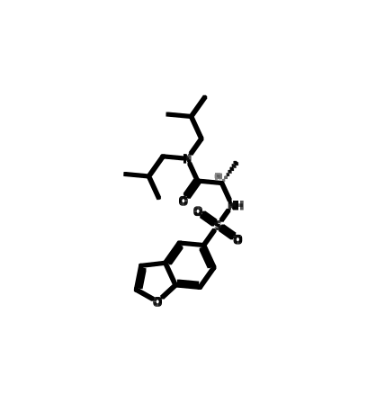 CC(C)CN(CC(C)C)C(=O)[C@H](C)NS(=O)(=O)c1ccc2occc2c1